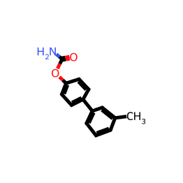 Cc1cccc(-c2ccc(OC(N)=O)cc2)c1